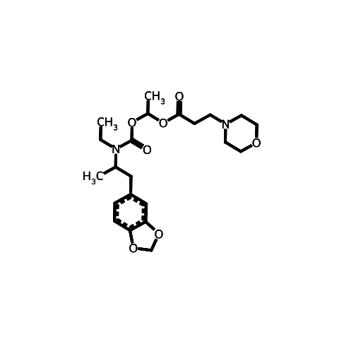 CCN(C(=O)OC(C)OC(=O)CCN1CCOCC1)C(C)Cc1ccc2c(c1)OCO2